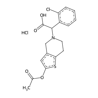 CC(=O)Oc1cc2c(s1)CCN(C(C(=O)O)c1ccccc1Cl)C2.Cl